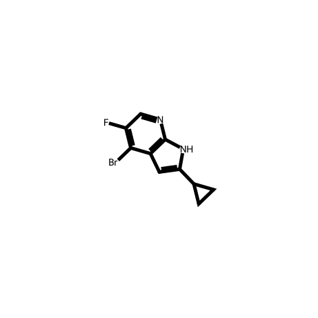 Fc1cnc2[nH]c(C3CC3)cc2c1Br